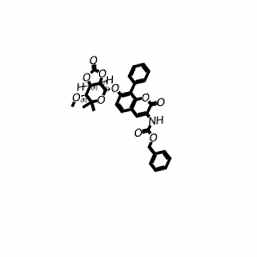 CO[C@@H]1[C@H]2OC(=O)O[C@H]2[C@H](Oc2ccc3cc(NC(=O)OCc4ccccc4)c(=O)oc3c2-c2ccccc2)OC1(C)C